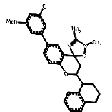 COc1cc(Cl)cc(-c2ccc3c(c2)C2(CC(C4CCCc5ccccc54)O3)N=C(N)N(C)O2)c1